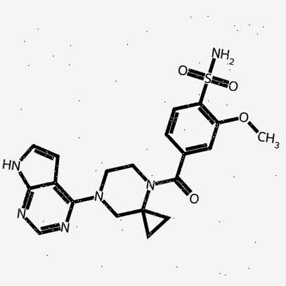 COc1cc(C(=O)N2CCN(c3ncnc4[nH]ccc34)CC23CC3)ccc1S(N)(=O)=O